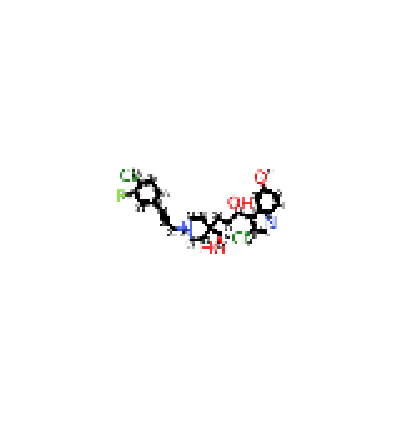 COc1ccc2ncc(Cl)c([C@H](O)CCC3(CO)CCN(CC#Cc4ccc(Cl)c(F)c4)CC3)c2c1